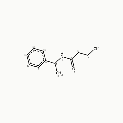 CC(NC(=O)CCCl)c1ccccc1